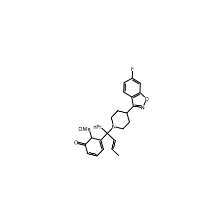 CC=CC(CCC)(C1=CC=[C]C(=O)C1OC)N1CCC(c2noc3cc(F)ccc23)CC1